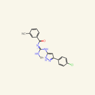 CC(C)N/C(=N/C(=O)c1cccc(C#N)c1)Nc1cc(-c2ccc(Cl)cc2)n[nH]1